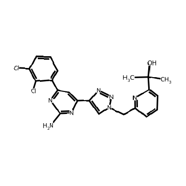 CC(C)(O)c1cccc(Cn2cc(-c3cc(-c4cccc(Cl)c4Cl)nc(N)n3)nn2)n1